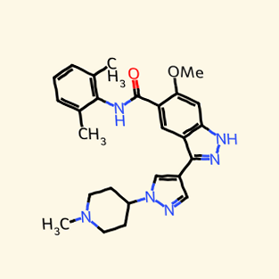 COc1cc2[nH]nc(-c3cnn(C4CCN(C)CC4)c3)c2cc1C(=O)Nc1c(C)cccc1C